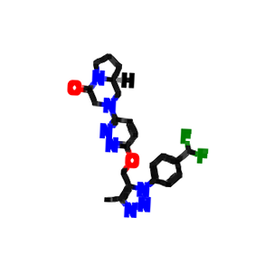 Cc1nnn(-c2ccc(C(F)F)cc2)c1COc1ccc(N2CC(=O)N3CCC[C@H]3C2)nn1